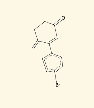 C=C1CCC(=O)C=C1c1ccc(Br)cc1